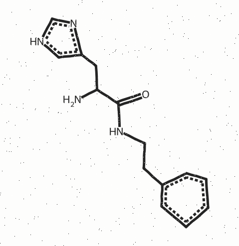 NC(Cc1c[nH]cn1)C(=O)NCCc1ccccc1